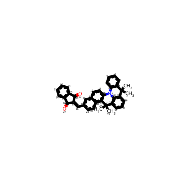 CC1(C)c2ccccc2N2c3ccc4cc(C=C5C(=O)c6ccccc6C5=O)ccc4c3C(C)(C)c3cccc1c32